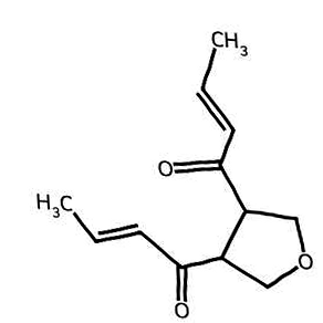 CC=CC(=O)C1COCC1C(=O)C=CC